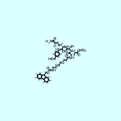 CC(C)[C@H](NC(=O)[C@H](CCC(=O)OC(C)(C)C)NC(=O)CCOCCOCCNC(=O)OCC1c2ccccc2-c2ccccc21)C(=O)N[C@@H](CCCNC(N)=O)C(=O)Nc1ccc(CO)cc1